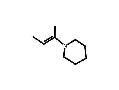 CC=C(C)N1CCCCC1